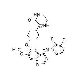 COc1cc2ncnc(Nc3cccc(Cl)c3F)c2cc1O[C@H]1CC[C@H]([C@@H]2NCCNC2=O)CC1